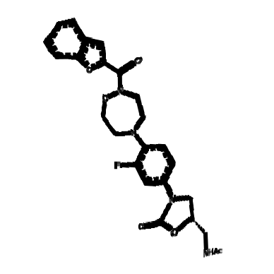 CC(=O)NC[C@H]1CN(c2ccc(N3CCON(C(=O)c4cc5ccccc5o4)CC3)c(F)c2)C(=O)O1